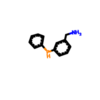 NCc1cccc(Pc2ccccc2)c1